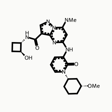 CNc1cc(Nc2cccn([C@H]3CCC[C@@H](OC)C3)c2=O)nc2c(C(=O)N[C@H]3CC[C@@H]3O)cnn12